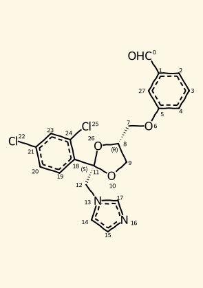 O=Cc1cccc(OC[C@@H]2CO[C@@](Cn3ccnc3)(c3ccc(Cl)cc3Cl)O2)c1